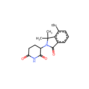 CC(C)(C)c1cccc2c1C(C)(C)N(C1CCC(=O)NC1=O)C2=O